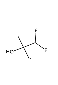 [CH2]C(C)(O)C(F)F